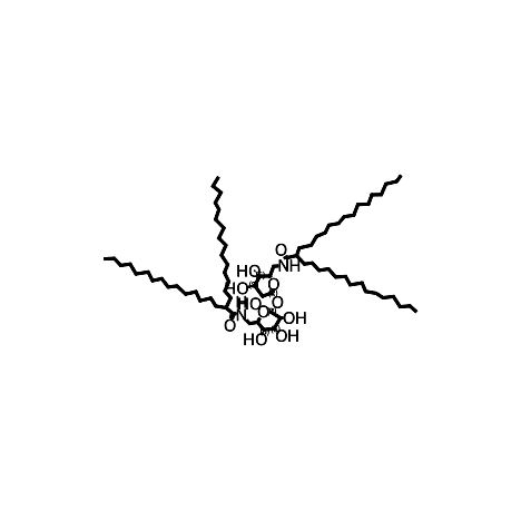 CCCCCCCCCCCCCCCC(CCCCCCCCCCCCCCC)C(=O)NCC1O[C@H](O[C@H]2OC(CNC(=O)C(CCCCCCCCCCCCCCC)CCCCCCCCCCCCCCC)[C@@H](O)[C@H](O)C2O)C(O)[C@@H](O)[C@@H]1O